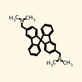 CN(C)Cc1ccc2c(c1)-c1ccccc1C21c2ccccc2-c2cc(CN(C)C)ccc21